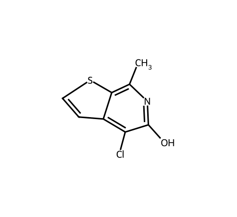 Cc1nc(O)c(Cl)c2ccsc12